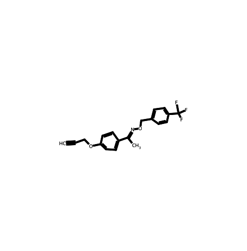 C#CCOc1ccc(C(C)=NOCc2ccc(C(F)(F)F)cc2)cc1